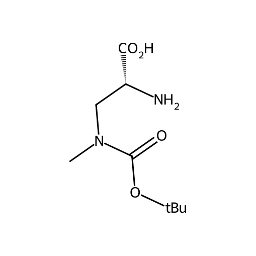 CN(C[C@@H](N)C(=O)O)C(=O)OC(C)(C)C